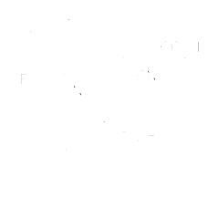 Cc1cc(Cn2cc(/C=C(\C#N)C(=O)O)c3cccc(F)c32)cc(C(F)(F)F)c1